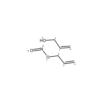 C=CCO.C=CCON=O